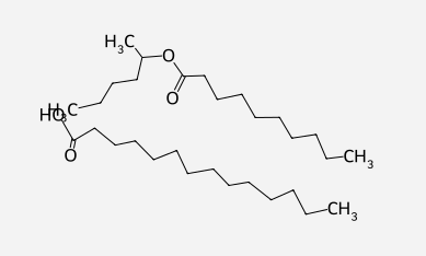 CCCCCCCCCC(=O)OC(C)CCCC.CCCCCCCCCCCCCC(=O)O